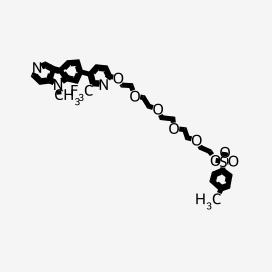 Cc1ccc(S(=O)(=O)OCCOCCOCCOCCOCCOc2ccc(-c3ccc4c5cnccc5n(C)c4c3)c(C(F)(F)F)n2)cc1